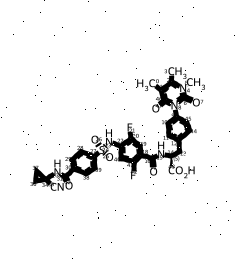 Cc1c(C)n(C)c(=O)n(-c2ccc(C[C@H](NC(=O)c3cc(F)c(NS(=O)(=O)c4ccc(C(=O)NC5(C#N)CC5)cc4)cc3F)C(=O)O)cc2)c1=O